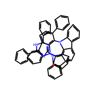 c1ccc(C2=NC(n3c4ccccc4c4ccc5c6ccccc6n(-c6c(-c7ccccc7)ccc7c8ccccc8n(-c8ccccc8)c67)c5c43)=NC(c3ccccc3)N2)cc1